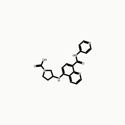 O=C(Nc1ccncc1)c1ccc(NC2CCN(C(=O)O)C2)c2cccnc12